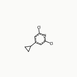 Clc1cc([C]2CC2)cc(Cl)n1